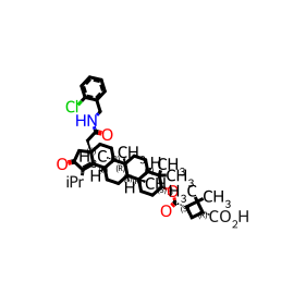 CC(C)C1=C2[C@H]3CC[C@@H]4[C@@]5(C)CC[C@H](OC(=O)[C@H]6C[C@@H](C(=O)O)C6(C)C)C(C)(C)[C@@H]5CC[C@@]4(C)[C@]3(C)CC[C@@]2(CC(=O)NCc2ccccc2Cl)CC1=O